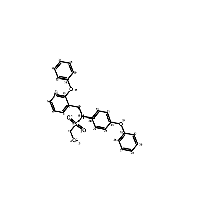 O=S(=O)(CC(F)(F)F)N(Cc1cccnc1Oc1ccccc1)c1ccc(Oc2ccccc2)cc1